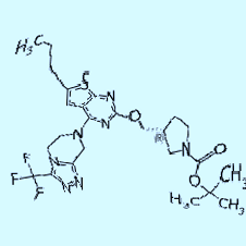 CCCc1cc2c(N3CCn4c(nnc4C(F)(F)F)C3)nc(OC[C@@H]3CCN(C(=O)OC(C)(C)C)C3)nc2s1